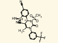 CC1=C(C#N)[C@@H](c2ccc(C#N)cc2[SH](=N)=O)N(S(C)(=O)=O)C(=O)N1c1cccc(C(F)(F)F)c1